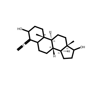 C=C=C1C(O)CC[C@@]2(C)C1CC[C@@H]1[C@@H]2CC[C@]2(C)C(O)CC[C@@H]12